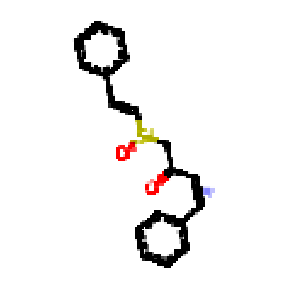 O=C(/C=C\c1ccccc1)C[S+]([O-])C=Cc1ccccc1